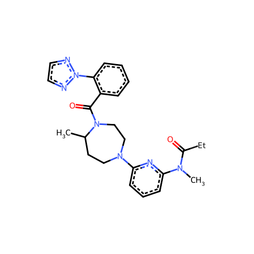 CCC(=O)N(C)c1cccc(N2CCC(C)N(C(=O)c3ccccc3-n3nccn3)CC2)n1